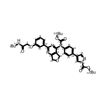 CCC(C)NC(=O)COc1cccc(-c2nc3c(c(N(C(=O)OC(C)(C)C)c4ccc(-c5cnn(C(=O)OC(C)(C)C)c5)cc4)n2)COC3)c1